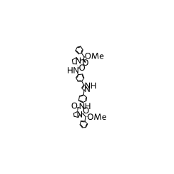 CO[C@@H](C(=O)N1CCC[C@H]1C(=O)Nc1ccc(-c2cc(-c3ccc(NC(=O)[C@@H]4CCCN4C(=O)[C@H](OC)c4ccccc4)cc3)[nH]n2)cc1)c1ccccc1